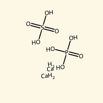 O=P(O)(O)O.O=S(=O)(O)O.[CaH2].[CaH2]